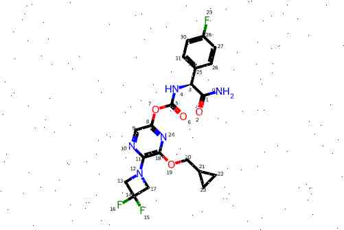 NC(=O)[C@@H](NC(=O)Oc1cnc(N2CC(F)(F)C2)c(OCC2CC2)n1)c1ccc(F)cc1